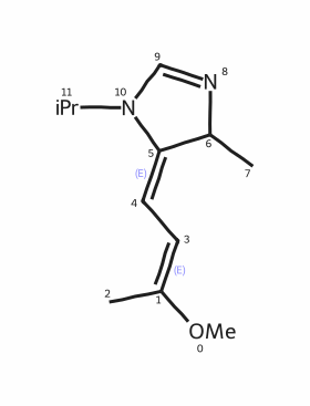 CO/C(C)=C/C=C1\C(C)N=CN1C(C)C